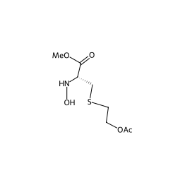 COC(=O)[C@H](CSCCOC(C)=O)NO